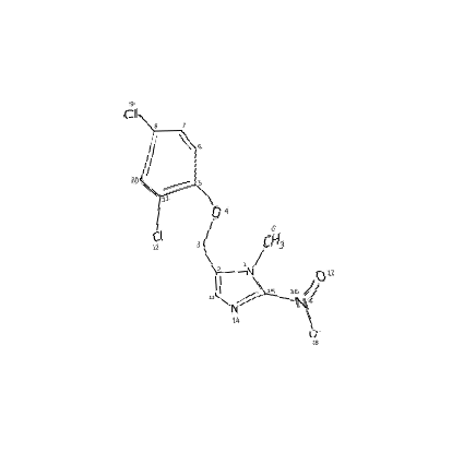 Cn1c(COc2ccc(Cl)cc2Cl)cnc1[N+](=O)[O-]